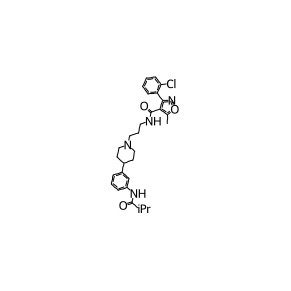 Cc1onc(-c2ccccc2Cl)c1C(=O)NCCCN1CCC(c2cccc(NC(=O)C(C)C)c2)CC1